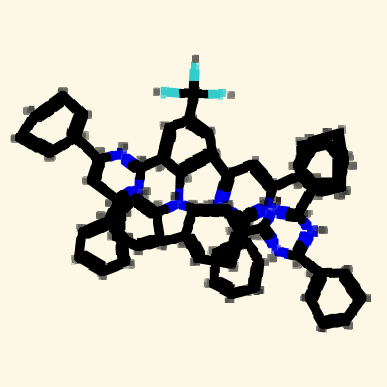 FC(F)(F)c1cc(-c2cc(-c3ccccc3)nc(-c3ccccc3)n2)c(-n2c3ccccc3c3ccc(-c4nc(-c5ccccc5)nc(-c5ccccc5)n4)cc32)c(-c2nc(-c3ccccc3)cc(-c3ccccc3)n2)c1